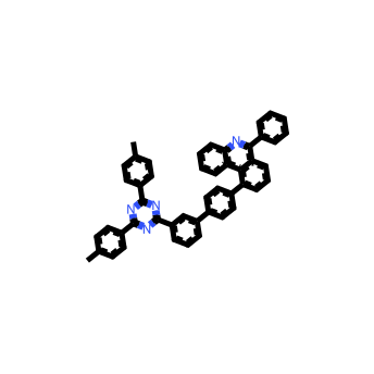 Cc1ccc(-c2nc(-c3ccc(C)cc3)nc(-c3cccc(-c4ccc(-c5cccc6c(-c7ccccc7)nc7ccccc7c56)cc4)c3)n2)cc1